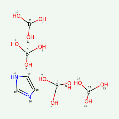 OB(O)O.OB(O)O.OB(O)O.OB(O)O.c1c[nH]cn1